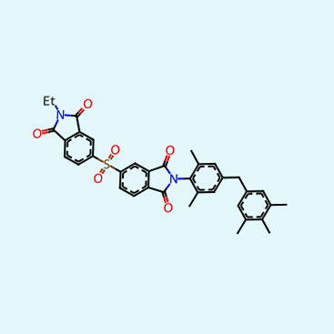 CCN1C(=O)c2ccc(S(=O)(=O)c3ccc4c(c3)C(=O)N(c3c(C)cc(Cc5cc(C)c(C)c(C)c5)cc3C)C4=O)cc2C1=O